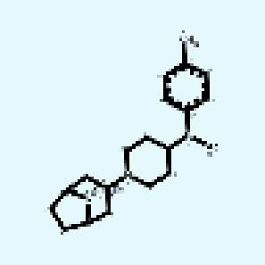 CCOC(=O)N1C2CCC1CC(N1CCC(N(C(C)=O)c3ccc(C)cc3)CC1)C2